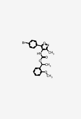 COc1ccccc1C(C)OC(=O)Nc1c(C)noc1-c1ccc(Br)cc1